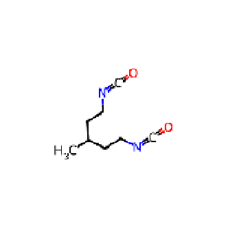 CC(CCN=C=O)CCN=C=O